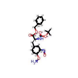 CC(C)(C)OC(=O)N[C@@H](Cc1ccc(ON)c(N=O)c1)C(=O)OCc1ccccc1